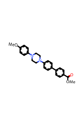 COC(=O)c1ccc(-c2ccc(N3CCN(c4ccc(OC)cc4)CC3)cc2)cc1